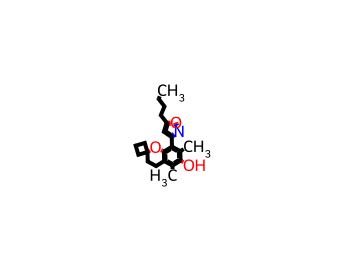 CCCCc1cc(-c2c(C)c(O)c(C)c3c2OC2(CCC2)CC3)no1